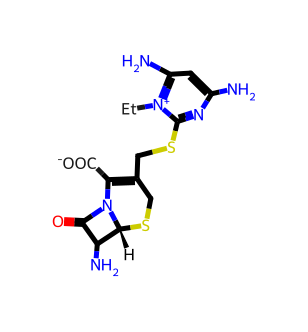 CC[n+]1c(N)cc(N)nc1SCC1=C(C(=O)[O-])N2C(=O)C(N)[C@H]2SC1